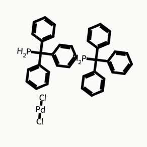 PC(c1ccccc1)(c1ccccc1)c1ccccc1.PC(c1ccccc1)(c1ccccc1)c1ccccc1.[Cl][Pd][Cl]